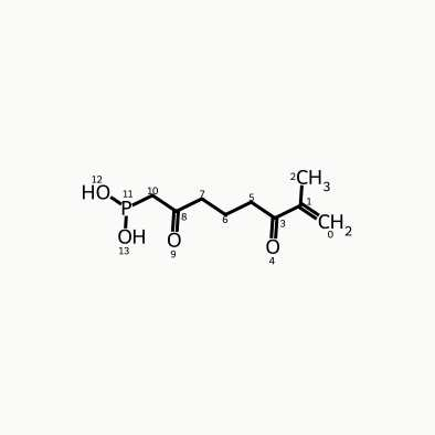 C=C(C)C(=O)CCCC(=O)CP(O)O